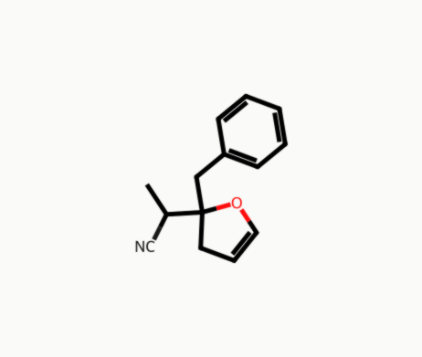 CC(C#N)C1(Cc2ccccc2)CC=CO1